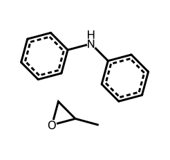 CC1CO1.c1ccc(Nc2ccccc2)cc1